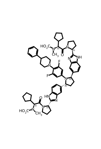 CN(C(=O)O)[C@H](C(=O)N1CCC[C@H]1c1nc2cc([C@H]3CC[C@H](c4ccc5[nH]c([C@@H]6CCCN6C(=O)[C@H](C6CCCC6)N(C)C(=O)O)nc5c4)N3c3cc(F)c(N4CCC(c5ccccc5)CC4)c(F)c3)ccc2[nH]1)C1CCCC1